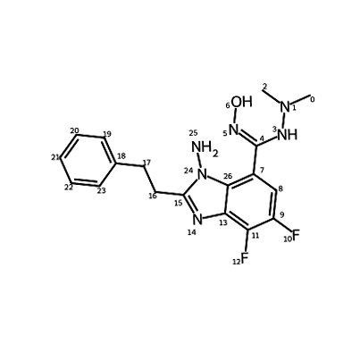 CN(C)NC(=NO)c1cc(F)c(F)c2nc(CCc3ccccc3)n(N)c12